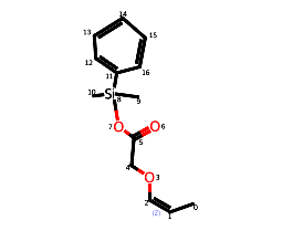 C/C=C\OCC(=O)O[Si](C)(C)c1ccccc1